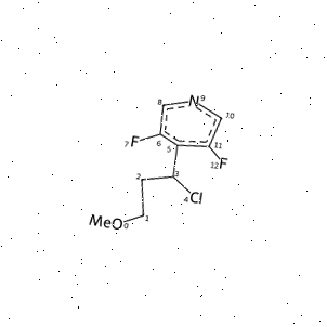 COCCC(Cl)c1c(F)cncc1F